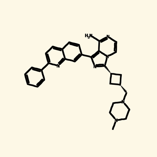 CN1CCN(C[C@H]2C[C@@H](c3nc(-c4ccc5ccc(-c6ccccc6)nc5c4)c4c(N)nccn43)C2)CC1